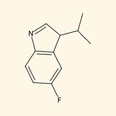 CC(C)C1C=Nc2ccc(F)cc21